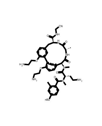 CCCCc1ccc(C(=O)N(C)[C@@H](CCN)C(=O)N(C)[C@@H]2C(=O)N[C@@H](C)C(=O)N[C@H](C(=O)NCC#N)Cc3ccc(OCCN)c(c3)-c3cc2ccc3OCCN)c(C)c1